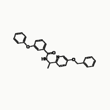 CC(NC(=O)c1cccc(Oc2ccccc2)c1)c1ccc(OCc2ccccc2)cn1